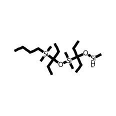 CCCC[Si](C)(C)C(CC)(CC)O[Si](C)(C)C(CC)(CC)O[SiH](C)C